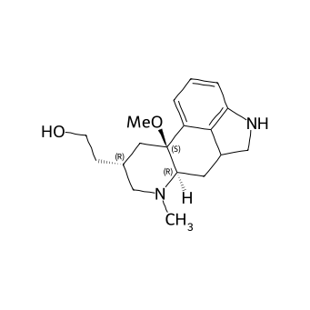 CO[C@]12C[C@@H](CCO)CN(C)[C@@H]1CC1CNc3cccc2c31